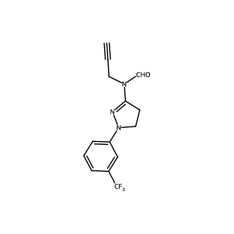 C#CCN(C=O)C1=NN(c2cccc(C(F)(F)F)c2)CC1